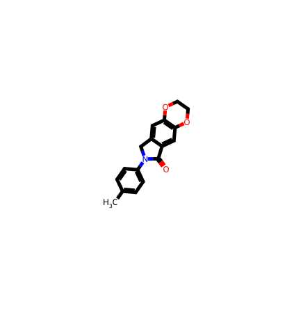 Cc1ccc(N2Cc3cc4c(cc3C2=O)OCCO4)cc1